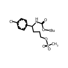 CC(C)(C)OC(=O)NC(CCCOS(C)(=O)=O)c1ccc(Cl)cc1